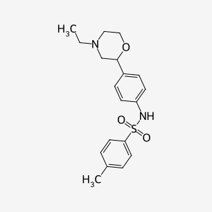 CCN1CCOC(c2ccc(NS(=O)(=O)c3ccc(C)cc3)cc2)C1